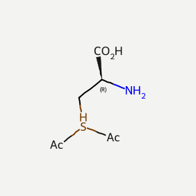 CC(=O)[SH](C[C@H](N)C(=O)O)C(C)=O